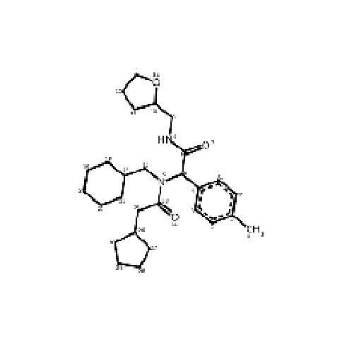 Cc1ccc(C(C(=O)NCC2CCCO2)N(CC2CCCCC2)C(=O)CC2CCCC2)cc1